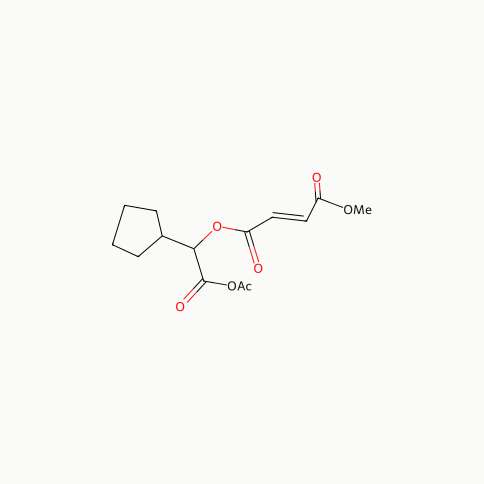 COC(=O)/C=C/C(=O)OC(C(=O)OC(C)=O)C1CCCC1